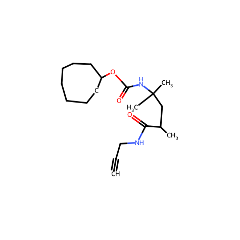 C#CCNC(=O)C(C)CC(C)(C)NC(=O)OC1CCCCCCC1